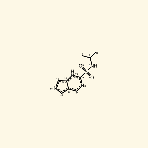 CC(C)NS(=O)(=O)c1ncc2cncc-2[nH]1